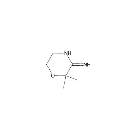 CC1(C)OCCNC1=N